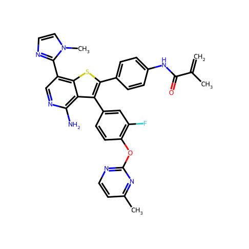 C=C(C)C(=O)Nc1ccc(-c2sc3c(-c4nccn4C)cnc(N)c3c2-c2ccc(Oc3nccc(C)n3)c(F)c2)cc1